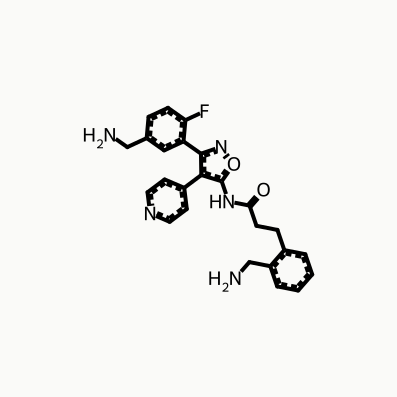 NCc1ccc(F)c(-c2noc(NC(=O)CCc3ccccc3CN)c2-c2ccncc2)c1